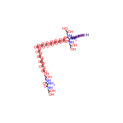 I.I.I.I.I.I.I.I.I.I.NC(C(=O)NCC(O)CO)C(=O)NCC(O)CO.NC(C(=O)NCC(O)CO)C(=O)NCC(O)CO.[Na+].[O-]B([O-])[O-].[O-]B([O-])[O-].[O-]B([O-])[O-].[O-]B([O-])[O-].[O-]B([O-])[O-].[O-]B([O-])[O-].[O-]B([O-])[O-].[O-]B([O-])[O-].[O-]B([O-])[O-].[O-]B([O-])[O-].[O-]B([O-])[O-].[O-]B([O-])[O-]